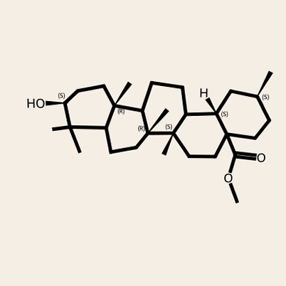 COC(=O)C12CC[C@H](C)C[C@H]1C1CCC3[C@@]4(C)CC[C@H](O)C(C)(C)C4CC[C@@]3(C)[C@@]1(C)CC2